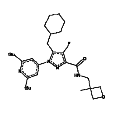 CC1(CNC(=O)c2nn(-c3cc(C(C)(C)C)nc(C(C)(C)C)c3)c(CC3CCCCC3)c2F)COC1